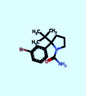 CC(C)(C)C1(c2cccc(Br)c2)CCCN1C(N)=O